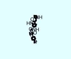 CN(C)c1ccc(N2CCN(C(=O)Nc3ccc4c(c3)NC(=O)C4=Cc3ccc[nH]3)C2=O)cc1